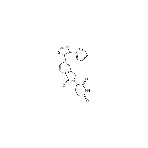 O=C1CCC(N2Cc3cc(-c4scnc4-c4ccccc4)ccc3C2=O)C(=O)N1